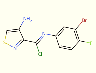 Nc1csnc1/C(Cl)=N/c1ccc(F)c(Br)c1